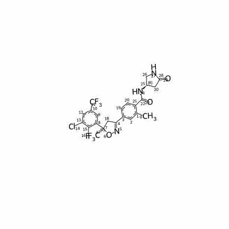 Cc1cc(C2=NO[C@](c3cc(C(F)(F)F)cc(Cl)c3F)(C(F)(F)F)C2)ccc1C(=O)N[C@H]1CNC(=O)C1